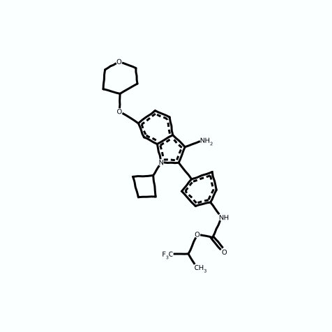 CC(OC(=O)Nc1ccc(-c2c(N)c3ccc(OC4CCOCC4)cc3n2C2CCC2)cc1)C(F)(F)F